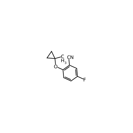 CC1(Oc2ccc(F)cc2C#N)CC1